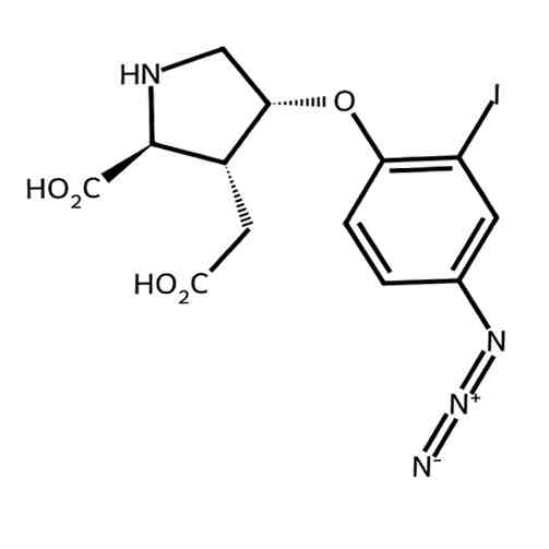 [N-]=[N+]=Nc1ccc(O[C@H]2CN[C@H](C(=O)O)[C@H]2CC(=O)O)c(I)c1